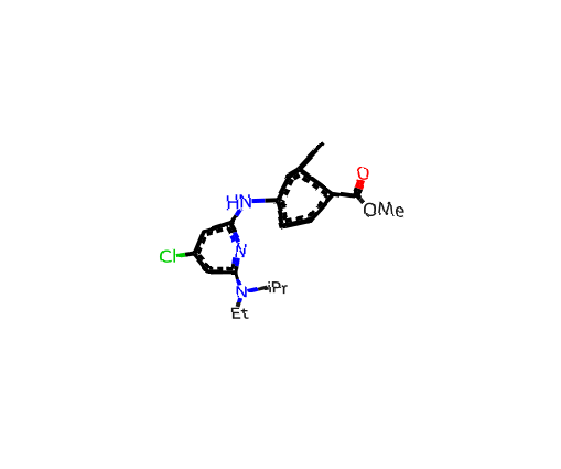 CCN(c1cc(Cl)cc(Nc2ccc(C(=O)OC)c(C)c2)n1)C(C)C